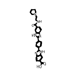 O=C(O)c1ccc2nc(-c3ccc(-c4nc5ccc(C(=O)NCCN6CCCCC6)cc5[nH]4)cc3)[nH]c2c1